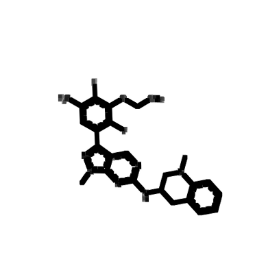 COCOc1c(F)c(-c2nn(C)c3nc(NC4Cc5ccccc5N(C)C4)ncc23)cc(C(F)(F)F)c1F